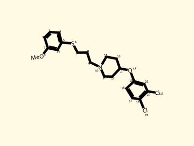 COc1cccc(SCCCN2CCC(Oc3ccc(Cl)c(Cl)c3)CC2)c1